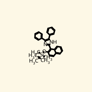 CC(C)(C)[Si](C)(C)Oc1ccc2ccccc2c1-c1nc(-c2ccccc2)c(-c2ccccc2)[nH]1